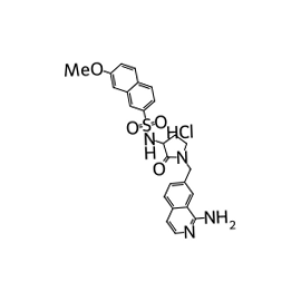 COc1ccc2ccc(S(=O)(=O)NC3CCN(Cc4ccc5ccnc(N)c5c4)C3=O)cc2c1.Cl